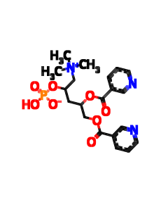 C[N+](C)(C)CC(CC(COC(=O)c1cccnc1)OC(=O)c1cccnc1)OP(=O)([O-])O